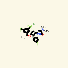 C[C@@H](O[C@H]1CC[C@@H]([C@H]2C[C@H](N(C)C)C(=O)N2)[C@@H]1c1ccc(F)cc1)c1cc(C(F)(F)F)cc(C(F)(F)F)c1.Cl